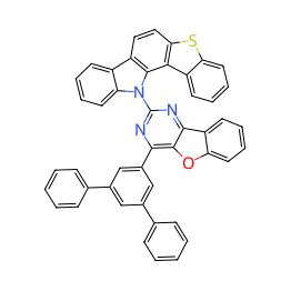 c1ccc(-c2cc(-c3ccccc3)cc(-c3nc(-n4c5ccccc5c5ccc6sc7ccccc7c6c54)nc4c3oc3ccccc34)c2)cc1